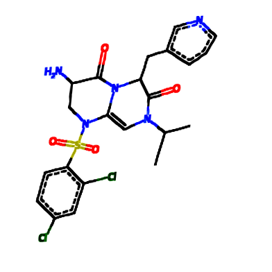 CC(C)N1C=C2N(C(=O)C(N)CN2S(=O)(=O)c2ccc(Cl)cc2Cl)C(Cc2cccnc2)C1=O